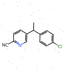 CC(c1ccc(Cl)cc1)c1ccc(C#N)nc1